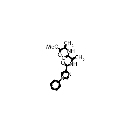 C=C(NC(=O)c1cn(-c2ccccc2)cn1)C(=O)NC(=C)C(=O)OC